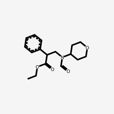 CCOC(=O)C(CN(C=O)C1CCOCC1)c1ccccc1